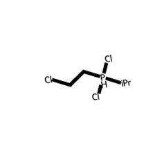 CC(C)[PH](Cl)(Cl)CCCl